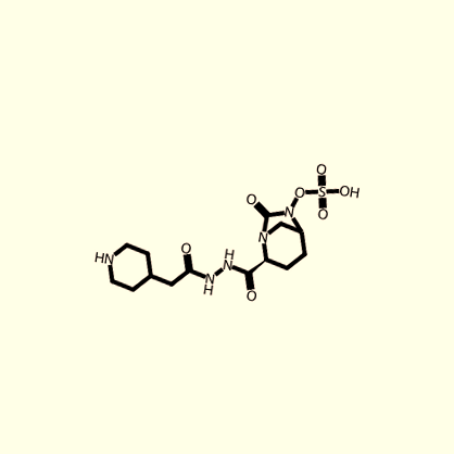 O=C(CC1CCNCC1)NNC(=O)[C@@H]1CCC2CN1C(=O)N2OS(=O)(=O)O